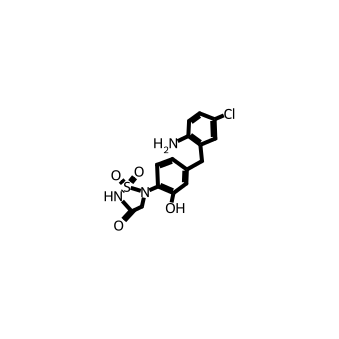 Nc1ccc(Cl)cc1Cc1ccc(N2CC(=O)NS2(=O)=O)c(O)c1